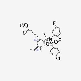 C=C(/C(=C\C(F)=C/C)CCCC(=O)O)[C@@H](C)N(c1cc(F)ccc1F)S(=O)(=O)c1ccc(Cl)cc1